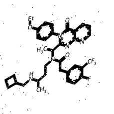 CCOc1ccc(-n2c(C(C)N(CCC(C)NCC3CCC3)C(=O)Cc3ccc(F)c(C(F)(F)F)c3)nc3ncccc3c2=O)cc1